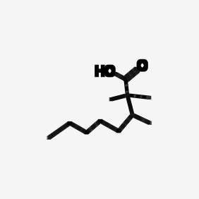 CCCCCC(C)C(C)(C)C(=O)O